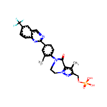 Cc1cc(-c2ncc3cc(C(F)(F)F)ccc3n2)ccc1N1CCn2nc(COP(=O)(O)O)c(C)c2C1=O